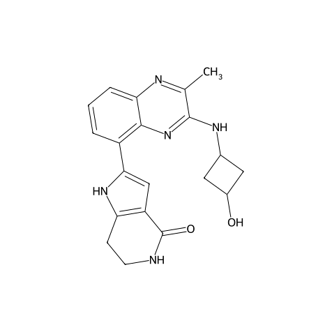 Cc1nc2cccc(-c3cc4c([nH]3)CCNC4=O)c2nc1NC1CC(O)C1